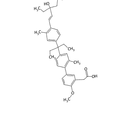 CCC(O)(C=Cc1ccc(C(CC)(CC)c2ccc(-c3ccc(OC)c(CC(=O)O)c3)c(C)c2)cc1C)CC